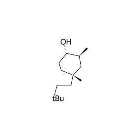 C[C@H]1C[C@](C)(CCC(C)(C)C)CC[C@@H]1O